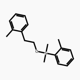 Cc1ccccc1CCO[Si](C)(C)c1ccccc1C